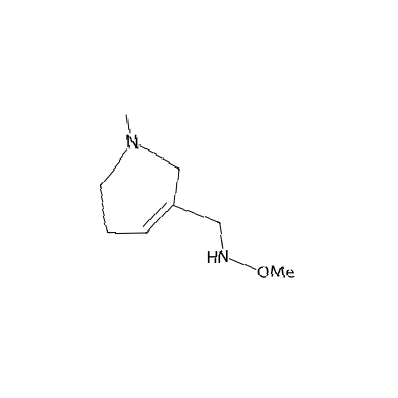 CONCC1=CCCN(C)C1